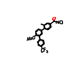 COc1ccc(-c2ccc(C(=O)N=O)cc2C)cc1-c1ccc(C(F)(F)F)cc1